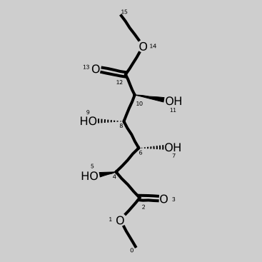 COC(=O)[C@@H](O)[C@@H](O)[C@H](O)[C@H](O)C(=O)OC